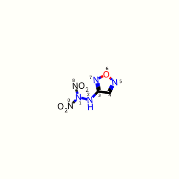 O=[N+]([O-])N(Nc1cnon1)[N+](=O)[O-]